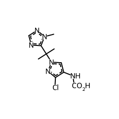 Cn1ncnc1C(C)(C)n1cc(NC(=O)O)c(Cl)n1